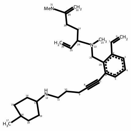 C=Cc1cccc(C#CCCCNC2CCC(C)CC2)c1CN(C)C(C=C)CCC(=C)NC